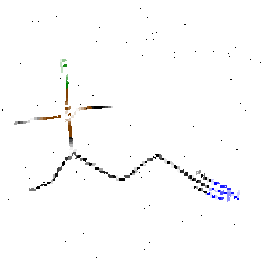 CC(CCC#N)S(C)(C)F